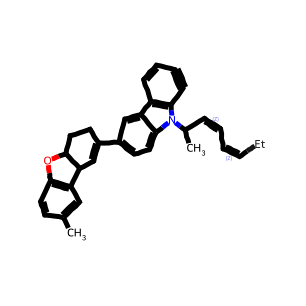 CC/C=C\C=C/C(C)n1c2c#cccc2c2cc(C3=CC4c5cc(C)ccc5OC4CC3)ccc21